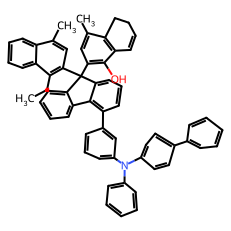 CCc1c(C2(c3cc(C)c4c(c3O)C=CCC4)c3ccccc3-c3c(-c4cccc(N(c5ccccc5)c5ccc(-c6ccccc6)cc5)c4)cccc32)cc(C)c2ccccc12